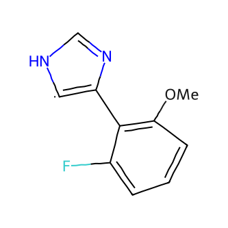 COc1cccc(F)c1-c1[c][nH]cn1